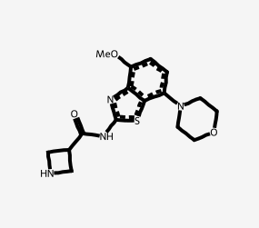 COc1ccc(N2CCOCC2)c2sc(NC(=O)C3CNC3)nc12